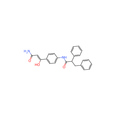 NC(=O)C=C(O)c1ccc(NC(=O)C(Cc2ccccc2)c2ccccc2)cc1